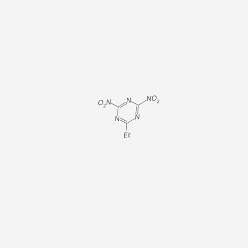 CCc1nc([N+](=O)[O-])nc([N+](=O)[O-])n1